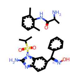 CC(C)S(=O)(=O)n1c(N)nc2ccc(/C(=N/O)c3ccccc3)cc21.Cc1cccc(C)c1NC(=O)C(C)N